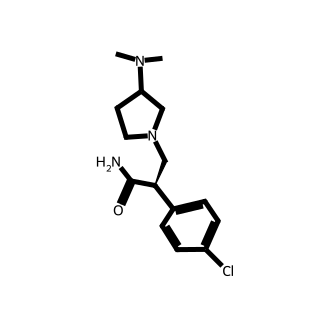 CN(C)C1CCN(C[C@H](C(N)=O)c2ccc(Cl)cc2)C1